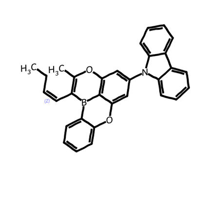 CC/C=C\C1=C(C)Oc2cc(-n3c4ccccc4c4ccccc43)cc3c2B1c1ccccc1O3